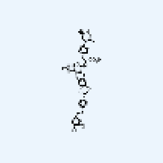 C=C/C=C(\C(C)=C/N)c1ccc(C[C@H](NC(=O)[C@@H]2Cc3cc4c(cc3CN2C(=O)NC(C)C)O[C@@H](c2ccc(OCc3ccc(Cl)c(Cl)c3)cc2)CO4)C(=O)O)cc1